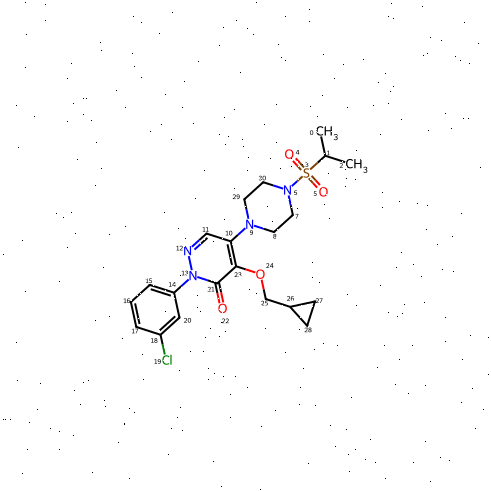 CC(C)S(=O)(=O)N1CCN(c2cnn(-c3cccc(Cl)c3)c(=O)c2OCC2CC2)CC1